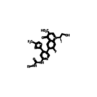 CCNC(=O)Nc1cc(-c2nc(C(F)(F)F)cs2)c(-c2cc3c(=O)c(C(=O)O)cn([C@@H](I)CO)c3cc2F)cn1